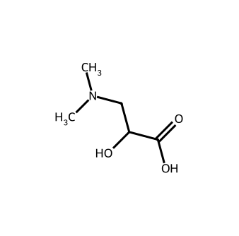 CN(C)CC(O)C(=O)O